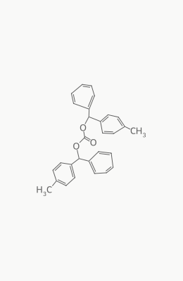 Cc1ccc(C(OC(=O)OC(c2ccccc2)c2ccc(C)cc2)c2ccccc2)cc1